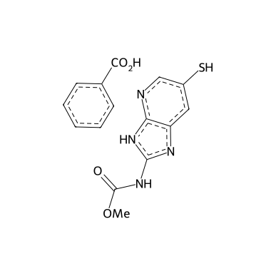 COC(=O)Nc1nc2cc(S)cnc2[nH]1.O=C(O)c1ccccc1